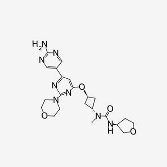 CN(C(=O)N[C@H]1CCOC1)[C@H]1C[C@H](Oc2cc(-c3cnc(N)nc3)nc(N3CCOCC3)n2)C1